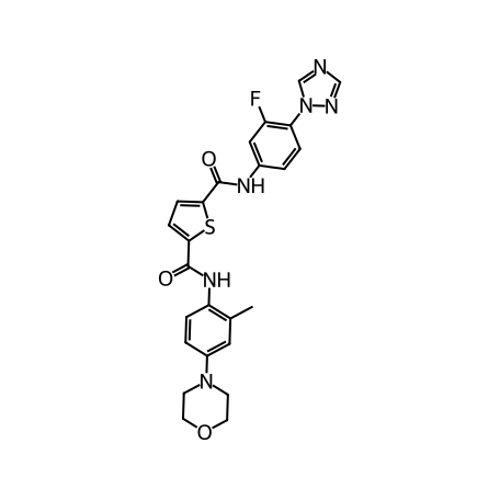 Cc1cc(N2CCOCC2)ccc1NC(=O)c1ccc(C(=O)Nc2ccc(-n3cncn3)c(F)c2)s1